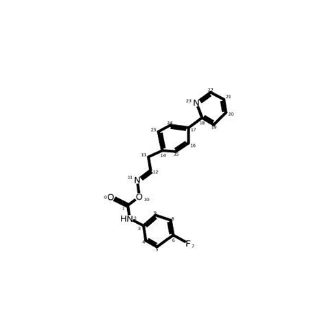 O=C(Nc1ccc(F)cc1)ON=CCc1ccc(-c2ccccn2)cc1